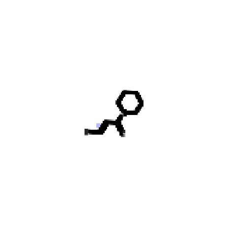 O=C(/C=C/F)N1CCCCC1